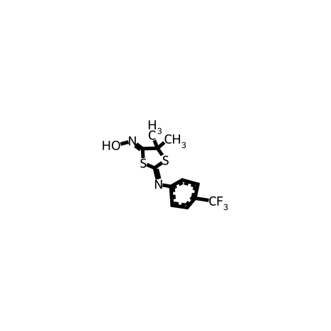 CC1(C)S/C(=N\c2ccc(C(F)(F)F)cc2)S/C1=N\O